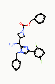 NC(c1nc(-c2cc(F)ccc2F)cn1Cc1ccccc1)C1CN(C(=O)OCc2ccccc2)C1